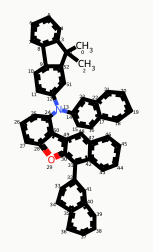 CC1(C)c2ccccc2-c2ccc(N(c3ccc4ccccc4c3)c3cccc4oc5c(-c6ccc7ccccc7c6)c6ccccc6cc5c34)cc21